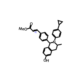 COC(=O)/C=C/c1ccc(C2c3ccc(O)cc3CC(C)N2c2ccc(C3CC3)cc2)cc1